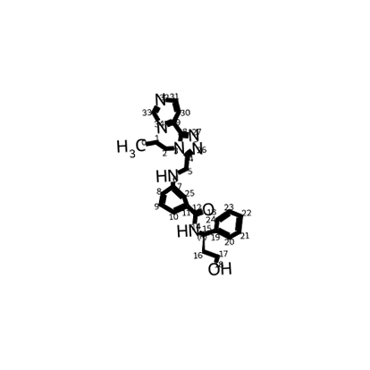 CCCn1c(CNc2cccc(C(=O)N[C@H](CCO)c3ccccc3)c2)nnc1-c1ccncn1